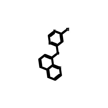 Clc1cc(Oc2cccc3cccnc23)ncn1